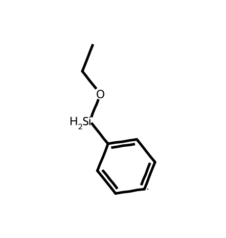 CCO[SiH2]c1cc[c]cc1